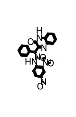 O=Nc1ccc(NN=C(c2ccccc2)c2nc3ccccc3[nH]c2=O)c([N+](=O)[O-])c1